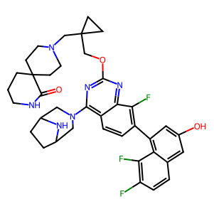 O=C1NCCCC12CCN(CC1(COc3nc(N4CC5CCC(C4)N5)c4ccc(-c5cc(O)cc6ccc(F)c(F)c56)c(F)c4n3)CC1)CC2